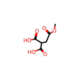 COC(=O)CC(C(=O)O)C(=O)O